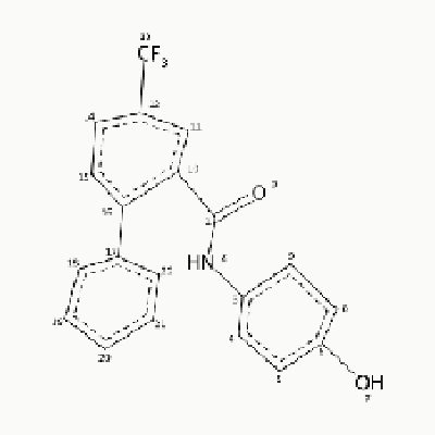 O=C(Nc1ccc(O)cc1)c1cc(C(F)(F)F)ccc1-c1ccccc1